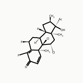 CC(=O)[C@@]1(O)[C@H](C)C[C@H]2[C@@H]3C[C@H](F)C4=C(F)C(=O)C=C[C@]4(C)[C@@]3(Cl)[C@@H](Cl)C[C@@]21C